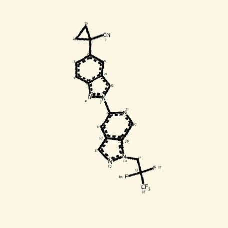 N#CC1(c2ccc3nn(-c4cc5cnn(CC(F)(F)C(F)(F)F)c5cn4)cc3c2)CC1